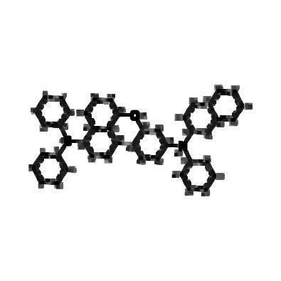 c1ccc(B(c2ccccc2)c2ccc3c4c(cccc24)Oc2cc(N(c4ccccc4)c4ccc5ccccc5c4)ccc2-3)cc1